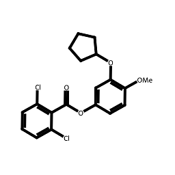 COc1ccc(OC(=O)c2c(Cl)cccc2Cl)cc1OC1CCCC1